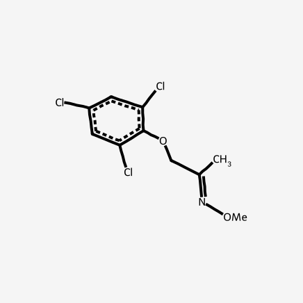 CO/N=C(\C)COc1c(Cl)cc(Cl)cc1Cl